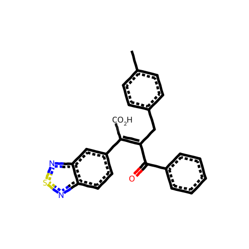 Cc1ccc(C/C(C(=O)c2ccccc2)=C(\C(=O)O)c2ccc3nsnc3c2)cc1